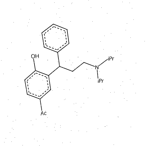 CC(=O)c1ccc(O)c(C(CCN(C(C)C)C(C)C)c2ccccc2)c1